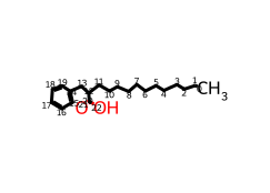 CCCCCCCCCCCCC(Cc1ccccc1)C(=O)O